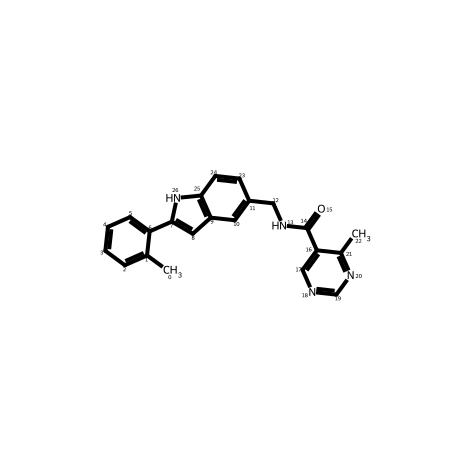 Cc1ccccc1-c1cc2cc(CNC(=O)c3cncnc3C)ccc2[nH]1